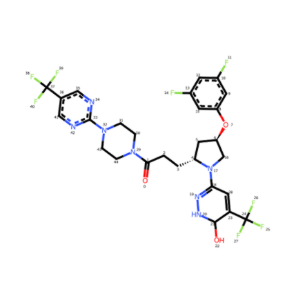 O=C(CC[C@@H]1C[C@@H](Oc2cc(F)cc(F)c2)CN1C1=NNC(O)C(C(F)(F)F)=C1)N1CCN(c2ncc(C(F)(F)F)cn2)CC1